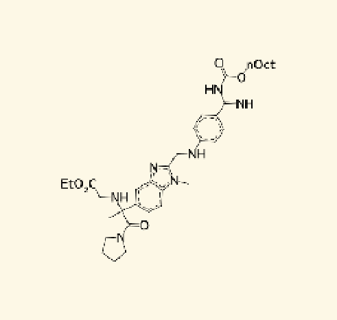 CCCCCCCCOC(=O)NC(=N)c1ccc(NCc2nc3cc(C(C)(NCC(=O)OCC)C(=O)N4CCCC4)ccc3n2C)cc1